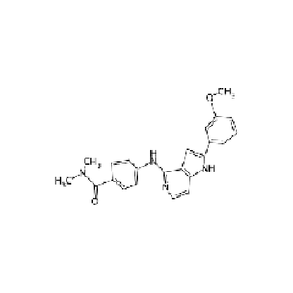 COc1cccc(-c2cc3c(Nc4ccc(C(=O)N(C)C)cc4)nccc3[nH]2)c1